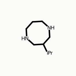 CC(C)C1CNCCCNC1